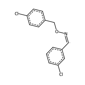 Clc1ccc(CO/N=[C]\c2cccc(Cl)c2)cc1